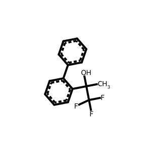 CC(O)(c1ccccc1-c1ccccc1)C(F)(F)F